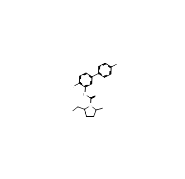 CCC1CCC(C)N1C(=O)Nc1cc(-c2ccc(F)cc2)ccc1N